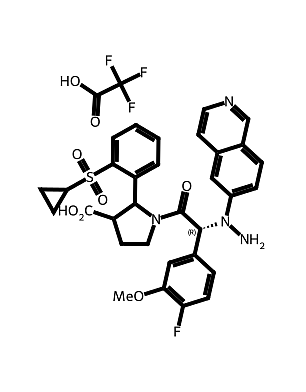 COc1cc([C@H](C(=O)N2CCC(C(=O)O)C2c2ccccc2S(=O)(=O)C2CC2)N(N)c2ccc3cnccc3c2)ccc1F.O=C(O)C(F)(F)F